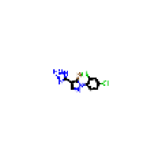 Clc1ccc(-n2ncc(-c3nn[nH]n3)c2Br)c(Cl)c1